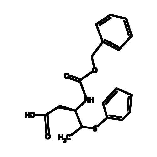 CC(Sc1ccccc1)[C@@H](CC(=O)O)NC(=O)OCc1ccccc1